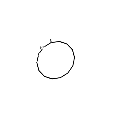 C1CCCCCSSPPCCCC1